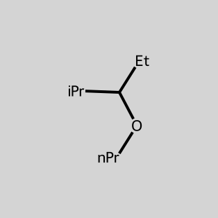 [CH2]CC(OCCC)C(C)C